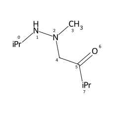 CC(C)NN(C)CC(=O)C(C)C